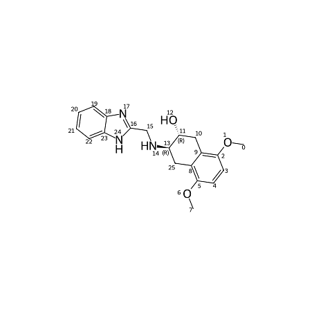 COc1ccc(OC)c2c1C[C@@H](O)[C@H](NCc1nc3ccccc3[nH]1)C2